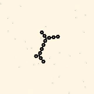 c1ccc(-c2ccc(-c3ccc(N(c4ccc(-c5ccccc5)cc4)c4ccc(-c5ccc(-c6ccc(-c7ccc(N(c8ccccc8)c8ccc(-c9ccccc9)cc8)cc7)cc6)cc5)cc4)cc3)cc2)cc1